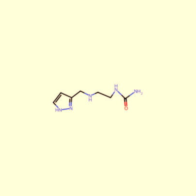 NC(=O)NCCNCc1cc[nH]n1